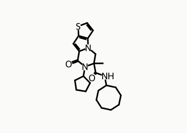 CC1(C(=O)NC2CCCCCCC2)Cn2c(cc3sccc32)C(=O)N1C1CCCC1